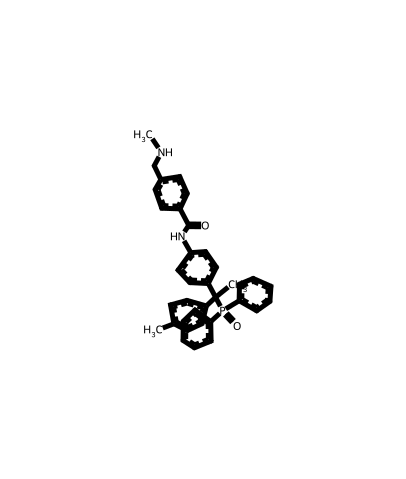 CNCc1ccc(C(=O)Nc2ccc(C(C)(c3ccc(C)cc3)P(=O)(c3ccccc3)c3ccccc3)cc2)cc1